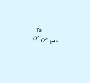 [Ir+4].[O-2].[O-2].[Ta]